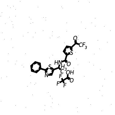 CC(NC(=O)c1ccc(C(=O)C(F)(F)F)s1)c1cnc(-c2ccccc2)s1.O=C(O)C(F)(F)F